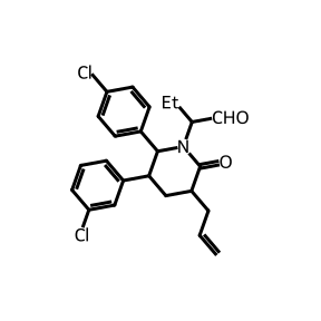 C=CCC1CC(c2cccc(Cl)c2)C(c2ccc(Cl)cc2)N(C(C=O)CC)C1=O